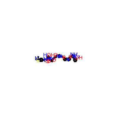 Cc1ncsc1-c1ccc([C@H](C)NC(=O)[C@@H]2C[C@@H](O)CN2C(=O)[C@@H](NC(=O)CCC(=O)N2CCN(CCOc3cccc(N4CCCC(Oc5cc(-c6ccccc6O)nnc5N)C4)c3)CC2)C(C)(C)C)cc1